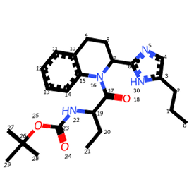 CCCc1cnc(C2CCc3ccccc3N2C(=O)C(CC)NC(=O)OC(C)(C)C)[nH]1